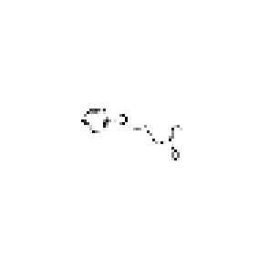 COC(=O)CCCOc1cc[c]cc1